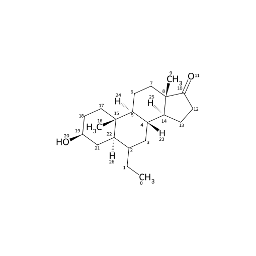 CCC1C[C@@H]2[C@H](CC[C@]3(C)C(=O)CC[C@@H]23)[C@@]2(C)CC[C@H](O)C[C@H]12